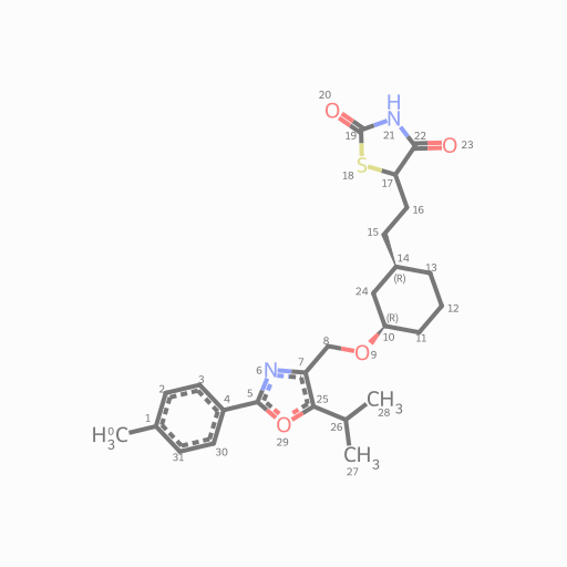 Cc1ccc(-c2nc(CO[C@@H]3CCC[C@H](CCC4SC(=O)NC4=O)C3)c(C(C)C)o2)cc1